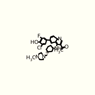 CC(=O)c1cnc2ccc(-c3cc(F)c(O)c(Cl)c3)cc2c1N[C@H]1CCC[C@@H](CN2CCN(C)CC2)C1